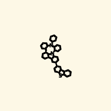 c1ccc(-n2c3ccccc3c3cccc4c5cc(-c6ccc7sc8ccccc8c7c6)ccc5n(c5ccccc52)c34)cc1